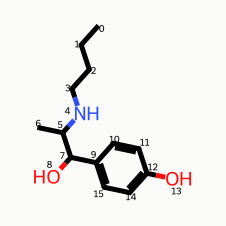 CCCCNC(C)C(O)c1ccc(O)cc1